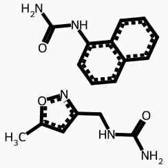 Cc1cc(CNC(N)=O)no1.NC(=O)Nc1cccc2ccccc12